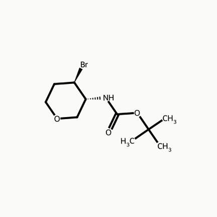 CC(C)(C)OC(=O)N[C@@H]1COCC[C@H]1Br